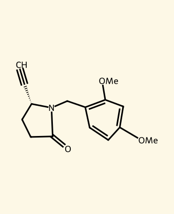 C#C[C@H]1CCC(=O)N1Cc1ccc(OC)cc1OC